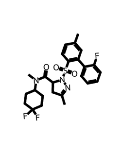 CC1=NN(S(=O)(=O)c2ccc(C)cc2-c2ccccc2F)C(C(=O)N(C)C2CCC(F)(F)CC2)C1